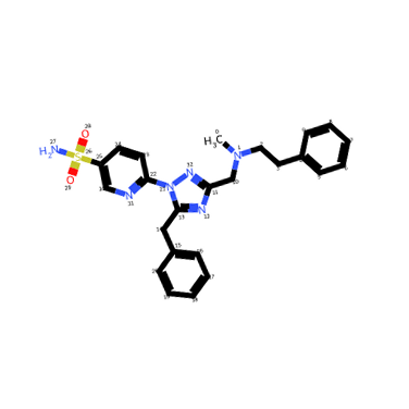 CN(CCc1ccccc1)Cc1nc(Cc2ccccc2)n(-c2ccc(S(N)(=O)=O)cn2)n1